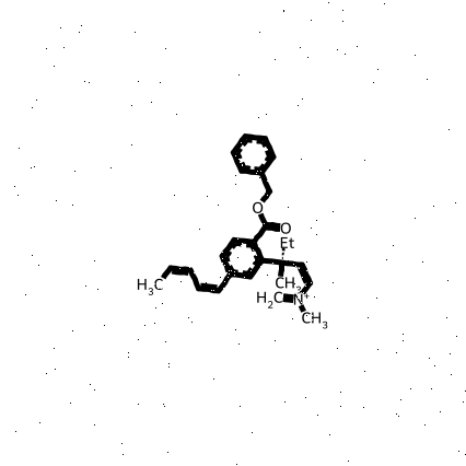 C=[N+](C)/C=C\[C@](C)(CC)c1cc(/C=C\C=C/C)ccc1C(=O)OCc1ccccc1